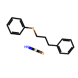 N=C=S.c1ccc(CCCSc2ccccc2)cc1